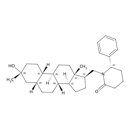 C[C@@]1(O)CC[C@H]2[C@H](CC[C@@H]3[C@@H]2CC[C@]2(C)[C@@H](CN4C(=O)CCC[C@H]4c4ccccc4)CC[C@@H]32)C1